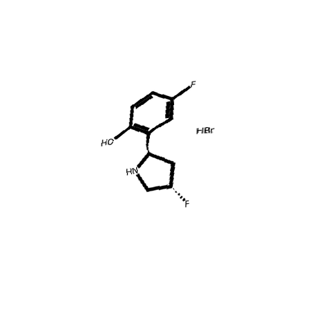 Br.Oc1ccc(F)cc1[C@H]1C[C@H](F)CN1